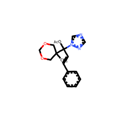 CC(=O)OC(C=Cc1ccccc1)(n1cncn1)C1(C)COCOC1